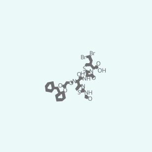 O=CNc1nc(/C(=N\OCC(=O)OC(c2ccccc2)c2ccccc2)C(=O)NC2C(=O)N3C(C(=O)O)C(C=C(Br)Br)=CS[C@H]23)cs1